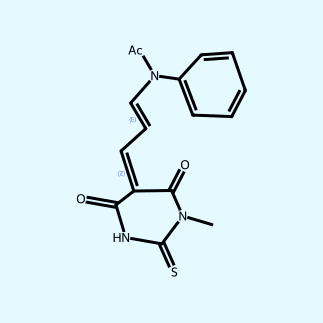 CC(=O)N(/C=C/C=C1/C(=O)NC(=S)N(C)C1=O)c1ccccc1